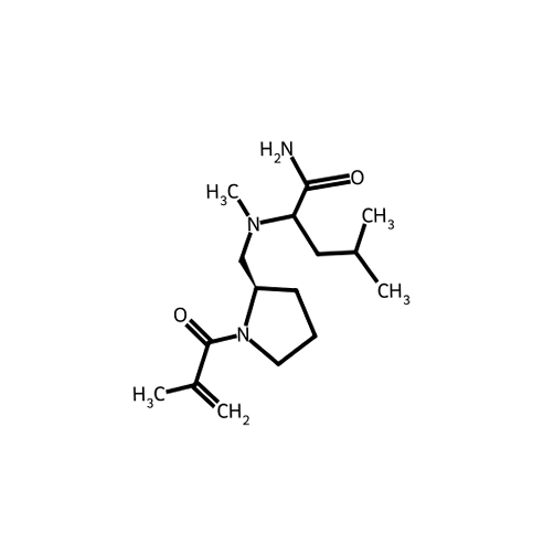 C=C(C)C(=O)N1CCC[C@@H]1CN(C)C(CC(C)C)C(N)=O